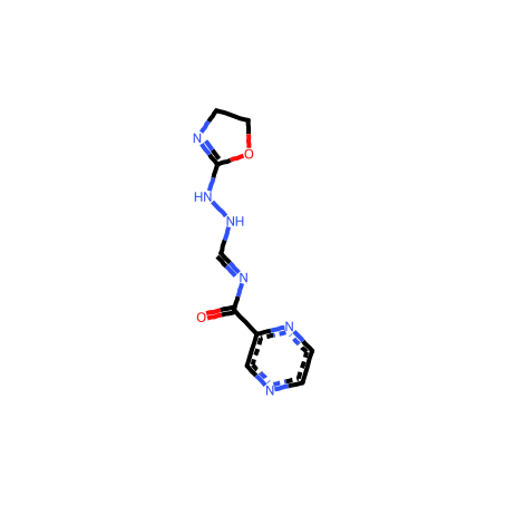 O=C(N=CNNC1=NCCO1)c1cnccn1